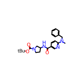 CN(Cc1ccccc1)c1ccc(C(=O)NC2CCN(C(=O)OC(C)(C)C)C2)cn1